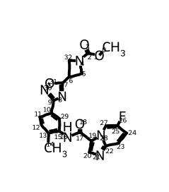 COC(=O)N1CC(c2nc(-c3ccc(C)c(NC(=O)c4cnc5ccc(F)cn45)c3)no2)C1